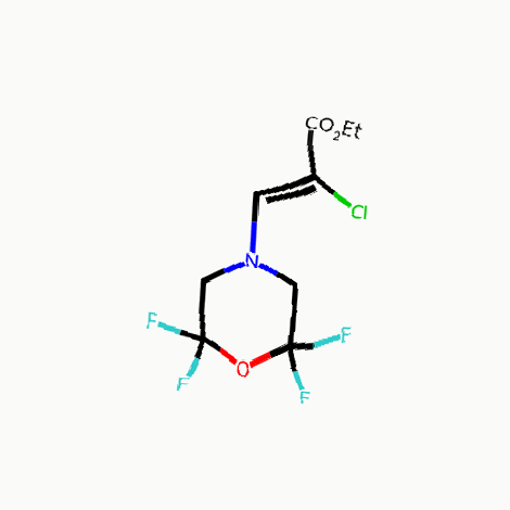 CCOC(=O)C(Cl)=CN1CC(F)(F)OC(F)(F)C1